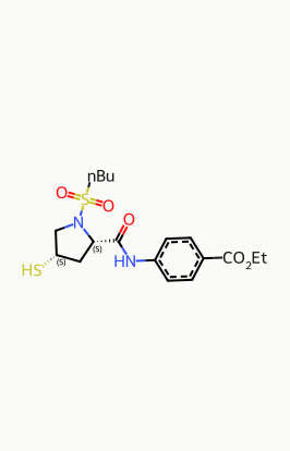 CCCCS(=O)(=O)N1C[C@@H](S)C[C@H]1C(=O)Nc1ccc(C(=O)OCC)cc1